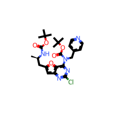 C[C@H](Cc1cc2nc(Cl)nc(N(Cc3ccncc3)C(=O)OC(C)(C)C)c2o1)NC(=O)OC(C)(C)C